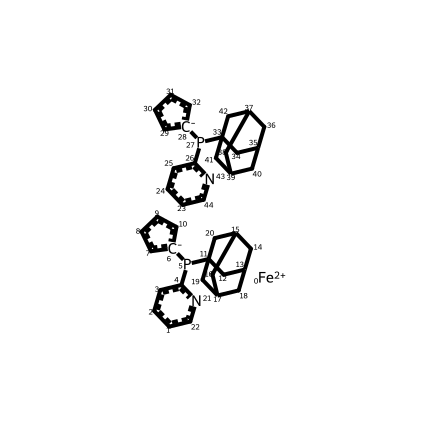 [Fe+2].c1ccc(P([c-]2cccc2)C23CC4CC(CC(C4)C2)C3)nc1.c1ccc(P([c-]2cccc2)C23CC4CC(CC(C4)C2)C3)nc1